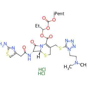 CCCC(C)OC(=O)OC(CC)OC(=O)C1=C(CSc2nnnn2CCN(C)C)CS[C@@H]2[C@H](NC(=O)Cc3csc(N)n3)C(=O)N12.Cl.Cl